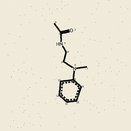 CC(=O)NCCN(C)c1ccccc1